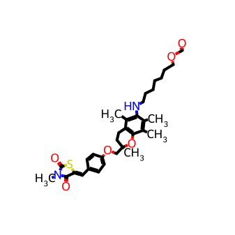 Cc1c(C)c2c(c(C)c1NCCCCCCCOC=O)CCC(C)(COc1ccc(/C=C3\SC(=O)N(C)C3=O)cc1)O2